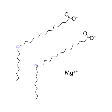 CCCCCCCC/C=C\CCCCCCCCCCCCCC(=O)[O-].CCCCCCCC/C=C\CCCCCCCCCCCCCC(=O)[O-].[Mg+2]